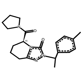 Cc1ccc(C(C)n2nc3n(c2=O)[C@H](C(=O)N2CCCC2)CCC3)cc1